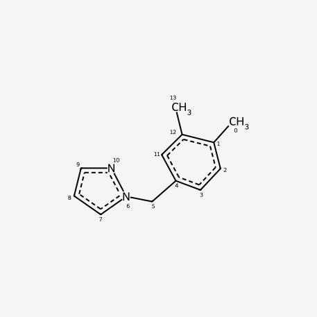 Cc1ccc(Cn2cccn2)cc1C